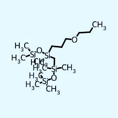 CCCOCCC[Si](C)(C[Si](C)(C)O[Si](C)(C)C)O[Si](C)(C)C